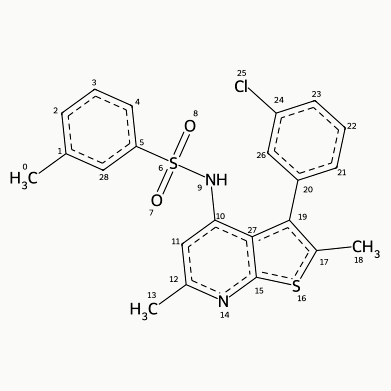 Cc1cccc(S(=O)(=O)Nc2cc(C)nc3sc(C)c(-c4cccc(Cl)c4)c23)c1